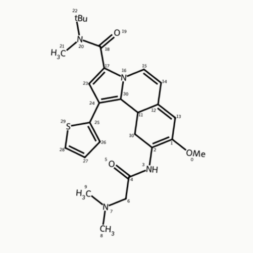 COC1=C(NC(=O)CN(C)C)CC2C(=C1)C=Cn1c(C(=O)N(C)C(C)(C)C)cc(-c3cccs3)c12